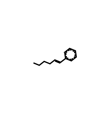 CCCCC=Cc1[c]cccc1